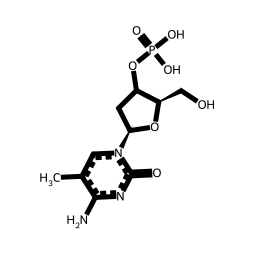 Cc1cn([C@H]2CC(OP(=O)(O)O)[C@@H](CO)O2)c(=O)nc1N